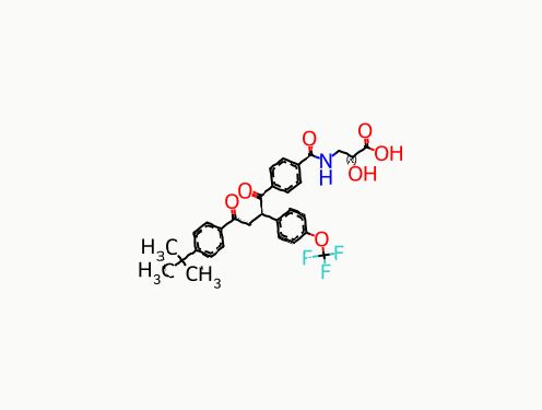 CC(C)(C)c1ccc(C(=O)CC(C(=O)c2ccc(C(=O)NC[C@@H](O)C(=O)O)cc2)c2ccc(OC(F)(F)F)cc2)cc1